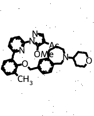 COc1c(C(C)=O)cnn1-c1cccc(-c2cccc(C)c2OCc2ccc3c(c2)CCCN(C2CCOCC2)C3)n1